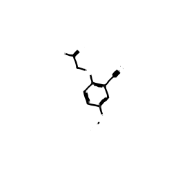 COc1ccc(OCC(=O)O)c(C#N)c1